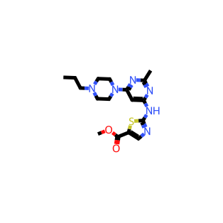 CCCN1CCN(c2cc(Nc3ncc(C(=O)OC)s3)nc(C)n2)CC1